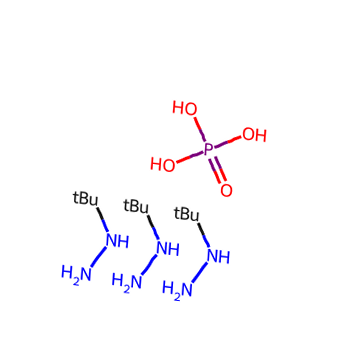 CC(C)(C)NN.CC(C)(C)NN.CC(C)(C)NN.O=P(O)(O)O